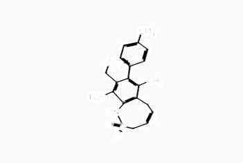 Cc1ccc(-c2c(C)c3c(c(C)c2CC(=O)O)NS(=O)(=O)C/C=C\C3)cc1